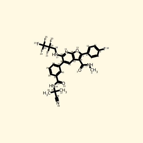 CNC(=O)c1c(-c2ccc(F)cc2)oc2nc(NCC(F)(F)C(F)(F)F)c(-c3cccc(C(=O)NC(C)(C)C#N)c3)cc12